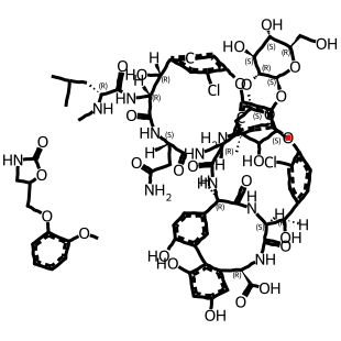 CN[C@H](CC(C)C)C(=O)N[C@H]1C(=O)N[C@@H](CC(N)=O)C(=O)N[C@H]2C(=O)N[C@H]3C(=O)N[C@H](C(=O)N[C@@H](C(=O)O)c4cc(O)cc(O)c4-c4cc3ccc4O)[C@H](O)c3ccc(c(Cl)c3)Oc3cc2cc(c3O[C@@H]2O[C@H](CO)[C@@H](O)[C@H](O)[C@H]2O[C@H]2C[C@](C)(N)C(O)[C@H](C)O2)Oc2ccc(cc2Cl)[C@H]1O.COc1ccccc1OCC1CNC(=O)O1